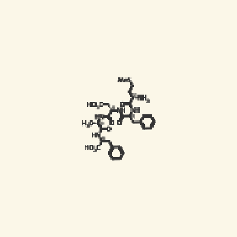 CSCC[C@H](N)C(=O)N[C@@H](Cc1ccccc1)C(=O)N[C@@H](CC(=O)O)C(=O)N[C@@H](C)C(=O)N[C@@H](Cc1ccccc1)C(=O)O